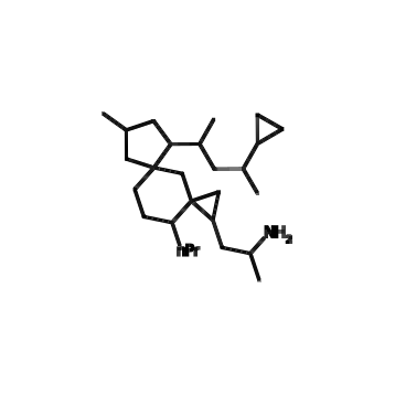 CCCC1CCC2(CC(C)CC2C(C)CC(C)C2CC2)CC12CC2CC(C)N